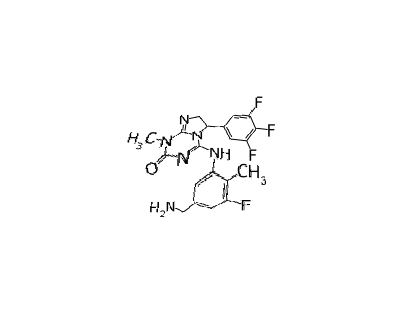 Cc1c(F)cc(CN)cc1NC1=NC(=O)N(C)C2=NCC(c3cc(F)c(F)c(F)c3)N12